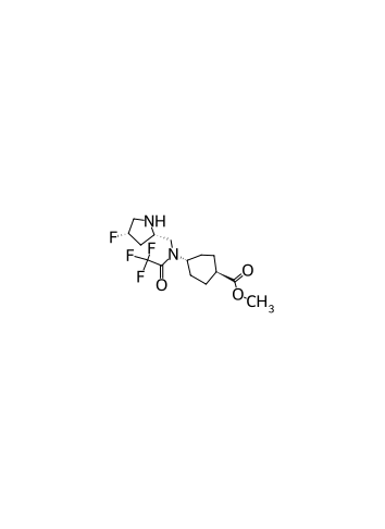 COC(=O)[C@H]1CC[C@H](N(C[C@@H]2C[C@H](F)CN2)C(=O)C(F)(F)F)CC1